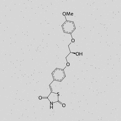 COc1ccc(OC[C@@H](O)COc2ccc(/C=C3\SC(=O)NC3=O)cc2)cc1